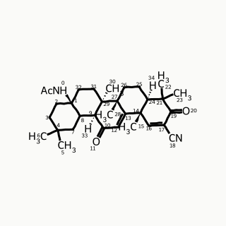 CC(=O)N[C@]12CCC(C)(C)CC1[C@@H]1C(=O)C=C3[C@@]4(C)C=C(C#N)C(=O)C(C)(C)[C@@H]4CC[C@@]3(C)[C@]1(C)CC2